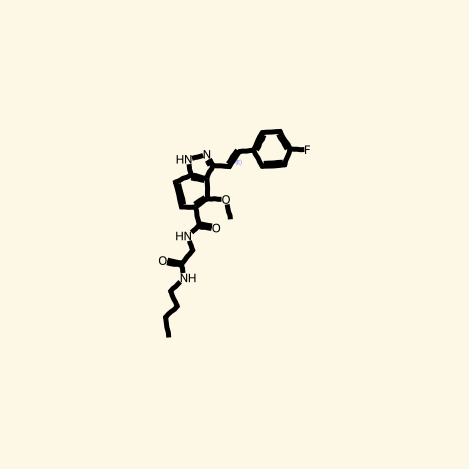 CCCCNC(=O)CNC(=O)c1ccc2[nH]nc(/C=C/c3ccc(F)cc3)c2c1OC